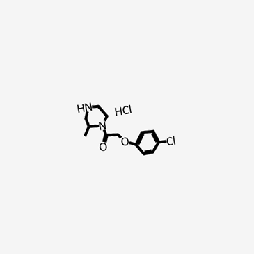 CC1CNCCN1C(=O)COc1ccc(Cl)cc1.Cl